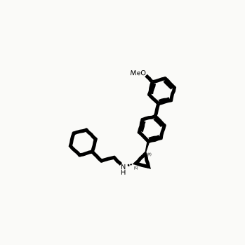 COc1cccc(-c2ccc([C@H]3C[C@@H]3NCCC3CCCCC3)cc2)c1